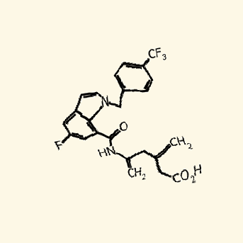 C=C(CC(=C)NC(=O)c1cc(F)cc2ccn(Cc3ccc(C(F)(F)F)cc3)c12)CC(=O)O